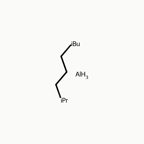 [AlH3].[CH2]C(C)CCCC(C)CC